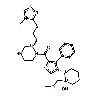 COC[C@]1(O)CCCC[C@H]1n1cnc(C(=O)N2CCNC[C@H]2CCSc2nncn2C)c1-c1ccccc1